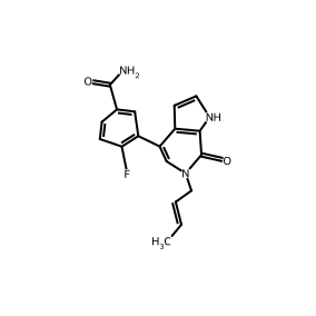 CC=CCn1cc(-c2cc(C(N)=O)ccc2F)c2cc[nH]c2c1=O